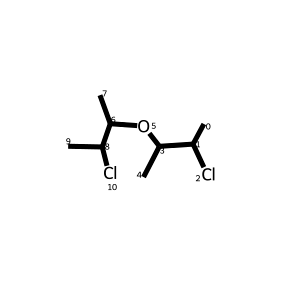 CC(Cl)C(C)OC(C)C(C)Cl